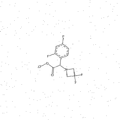 O=C(OCl)C(c1ccc(F)cc1F)N1CC(F)(F)C1